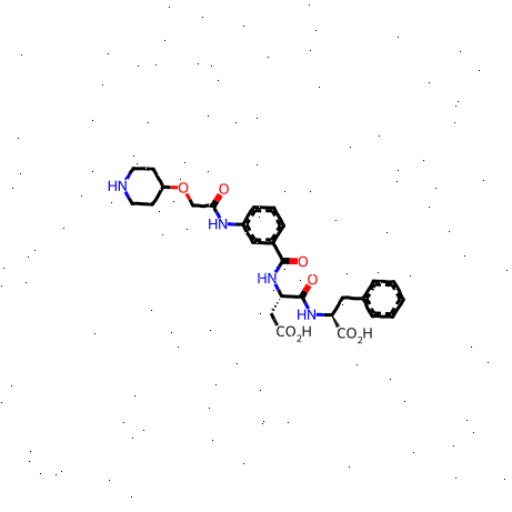 O=C(O)C[C@H](NC(=O)c1cccc(NC(=O)COC2CCNCC2)c1)C(=O)N[C@@H](Cc1ccccc1)C(=O)O